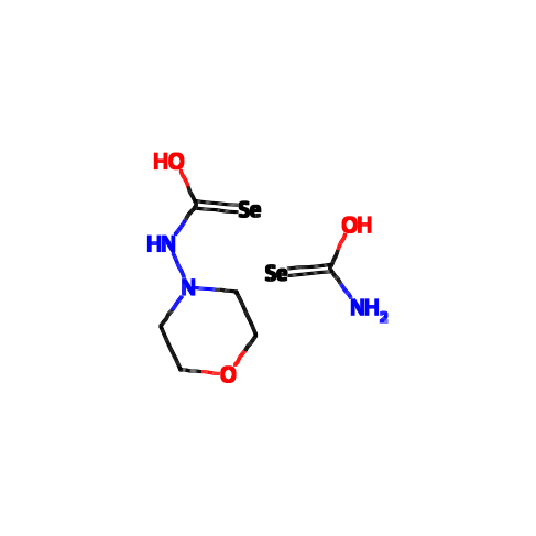 NC(O)=[Se].OC(=[Se])NN1CCOCC1